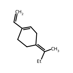 C=CC1=CC/C(=C(\C)CC)CC1